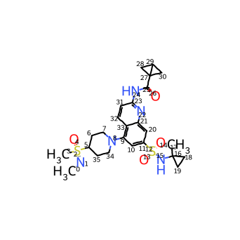 CN=S(C)(=O)C1CCN(c2cc(S(=O)(=O)NC3(C)CC3)cc3nc(NC(=O)C45CC4C5)ccc23)CC1